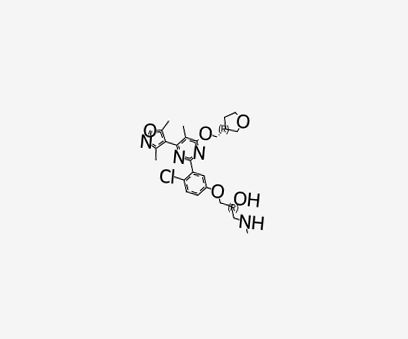 CNC[C@@H](O)COc1ccc(Cl)c(-c2nc(OC[C@@H]3CCOC3)c(C)c(-c3c(C)noc3C)n2)c1